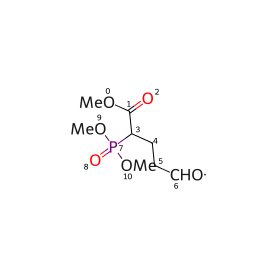 COC(=O)C(CC[C]=O)P(=O)(OC)OC